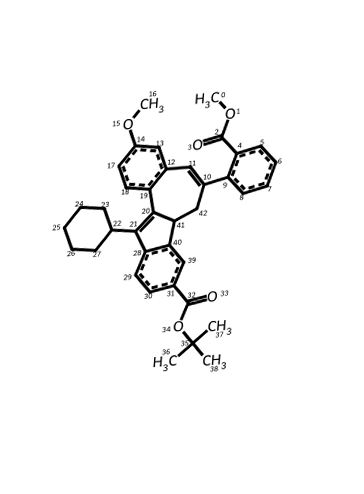 COC(=O)c1ccccc1C1=Cc2cc(OC)ccc2C2=C(C3CCCCC3)c3ccc(C(=O)OC(C)(C)C)cc3C2C1